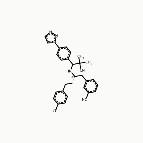 CC(C)(C#N)C(N[C@@H](CCc1ccc(Cl)cc1)Cc1cccc(C#N)c1)c1ccc(-n2ccnn2)cc1